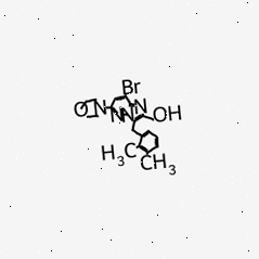 Cc1cccc(Cc2c(CO)nc3c(Br)cc(N4CCOCC4)nn23)c1C